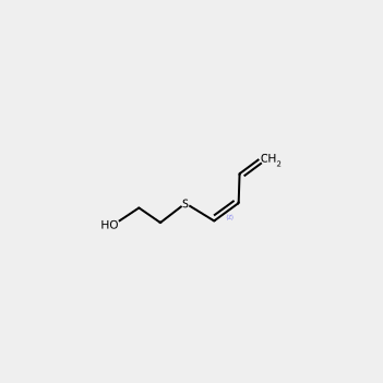 C=C/C=C\SCCO